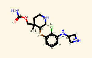 CC1(COC(N)=O)CCNCC1Sc1cccc(NC2CNC2)c1Cl